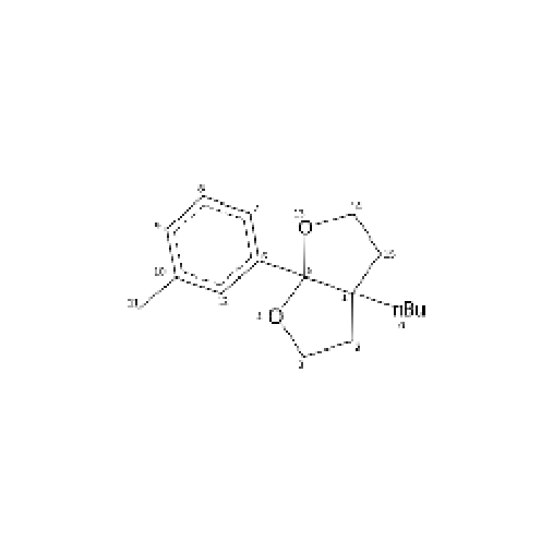 CCCCC12CCOC1(c1cccc(C)c1)OCC2